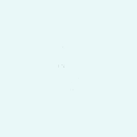 CCCNC1=CC(=O)OC1